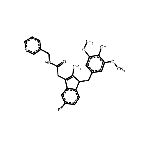 COc1cc(CC2C(C)=C(CC(=O)NCc3cccnc3)c3cc(F)ccc32)cc(OC)c1O